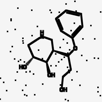 OCCC(Oc1ccccc1)[C@@H]1CNC[C@@H](O)[C@@H]1O